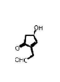 O=CCC1=C[C@H](O)CC1=O